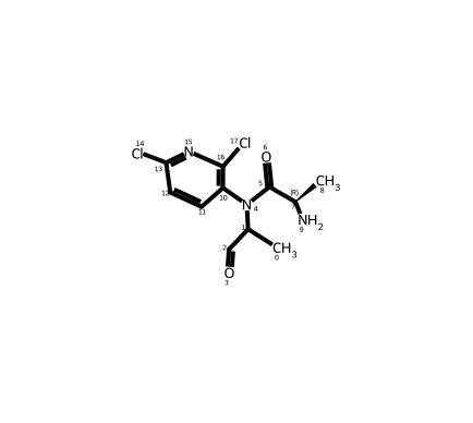 CC(C=O)N(C(=O)[C@@H](C)N)c1ccc(Cl)nc1Cl